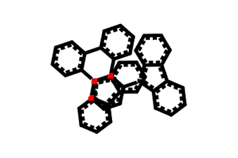 c1ccc(-c2ccccc2-n2c3ccccc3c3ccccc32)c(-c2ccccc2-n2c3ccccc3c3ccccc32)c1